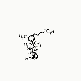 Cc1cc(CCCCC(=O)O)cc(C(C)(C)C(=O)N[C@H]2C=C3C4C[C@H]2C[C@]3(O)C4)c1